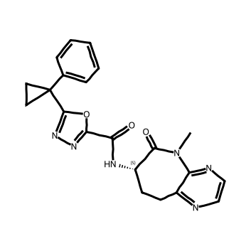 CN1C(=O)[C@@H](NC(=O)c2nnc(C3(c4ccccc4)CC3)o2)CCc2nccnc21